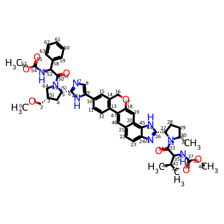 COC[C@H]1C[C@@H](c2ncc(-c3ccc4c(c3)COc3cc5c(ccc6nc([C@@H]7CC[C@H](C)N7C(=O)C(NC(=O)OC)C(C)C)[nH]c65)cc3-4)[nH]2)N(C(=O)C(NC(=O)OC)c2ccccc2)C1